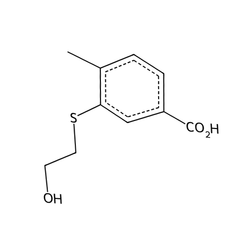 Cc1ccc(C(=O)O)cc1SCCO